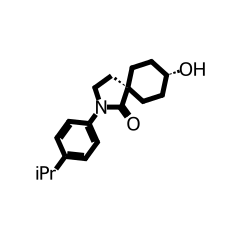 CC(C)c1ccc(N2CC[C@]3(CC[C@@H](O)CC3)C2=O)cc1